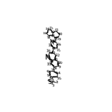 C[Si](C)(C)c1ccc(-c2ccc3cc(-c4ccc(-c5cccc6ccccc56)nc4)cnc3c2)cc1